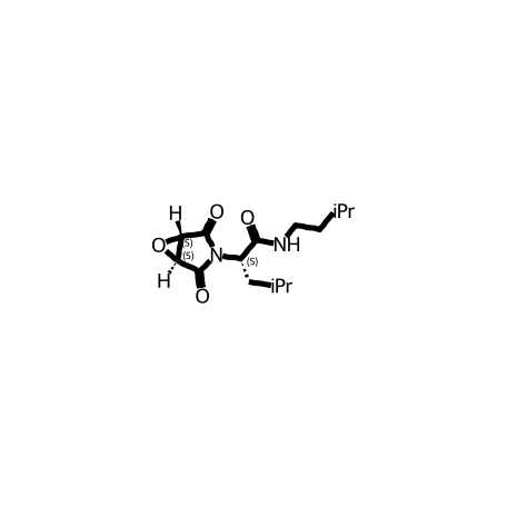 CC(C)CCNC(=O)[C@H](CC(C)C)N1C(=O)[C@H]2O[C@@H]2C1=O